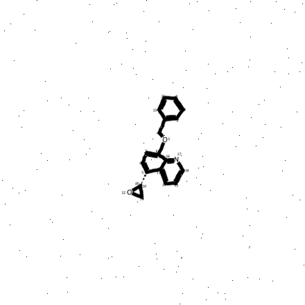 c1ccc(COc2ccc([C@@H]3CO3)c3cccnc23)cc1